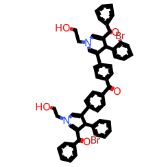 O=C(C1=CN(CCO)C=C(c2ccc(C(=O)c3ccc(C4=CN(CCO)C=C(C(=O)c5ccccc5)C4c4ccccc4Br)cc3)cc2)C1c1ccccc1Br)c1ccccc1